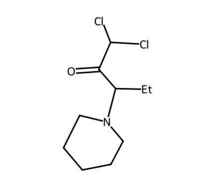 [CH2]CC(C(=O)C(Cl)Cl)N1CCCCC1